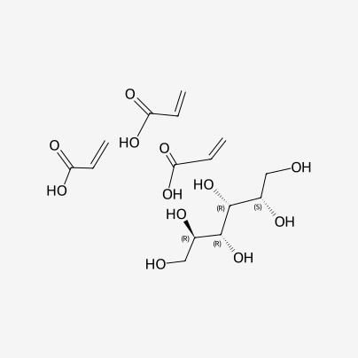 C=CC(=O)O.C=CC(=O)O.C=CC(=O)O.OC[C@@H](O)[C@@H](O)[C@H](O)[C@@H](O)CO